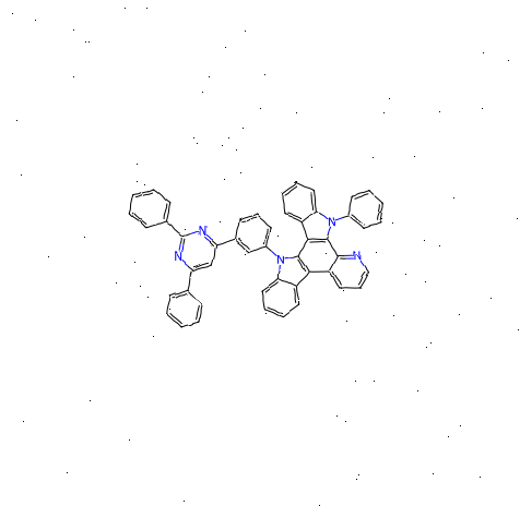 c1ccc(-c2cc(-c3cccc(-n4c5ccccc5c5c6cccnc6c6c(c7ccccc7n6-c6ccccc6)c54)c3)nc(-c3ccccc3)n2)cc1